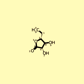 CC[C@H]1OC(=O)[C@@H](O)C1O